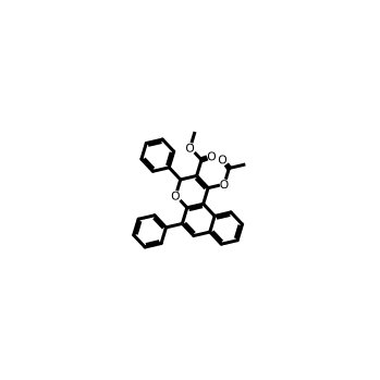 COC(=O)C1=C(OC(C)=O)c2c(c(-c3ccccc3)cc3ccccc23)OC1c1ccccc1